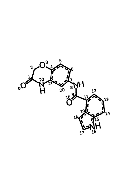 O=C1COc2ccc(NC(=O)c3cccc4[nH]ccc34)cc2N1